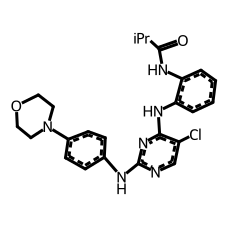 CC(C)C(=O)Nc1ccccc1Nc1nc(Nc2ccc(N3CCOCC3)cc2)ncc1Cl